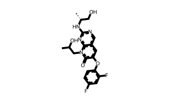 CC(O)Cn1c(=O)c(Oc2ccc(F)cc2F)cc2cnc(N[C@H](C)CO)nc21